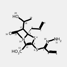 C=CC[C@]12SC(SC(C=C)=NN)=C(C(=O)O)N1C(=O)C2C(C)O